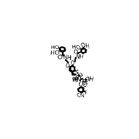 N#Cc1ccc(OP(=O)(O)CNS(=O)(=O)c2cc3cc(OCCNC(=O)c4cccc(O)c4O)c(OCCNC(=O)c4cccc(O)c4O)cc3s2)cc1F